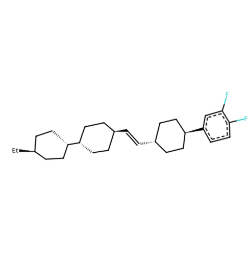 CC[C@H]1CC[C@H]([C@H]2CC[C@H](C=C[C@H]3CC[C@H](c4ccc(F)c(F)c4)CC3)CC2)CC1